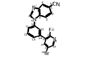 N#Cc1ccc2c(c1)ncn2-c1cccc(-c2cc(Br)cnc2F)c1